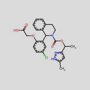 Cc1cc(C(C)OC(=O)N2CCc3ccccc3C2c2cc(Cl)ccc2OCC(=O)O)n[nH]1